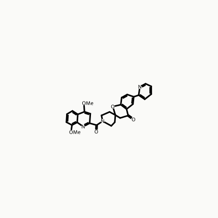 COc1cc(C(=O)N2CCC3(CC2)CC(=O)c2cc(-c4ccccn4)ccc2O3)nc2c(OC)cccc12